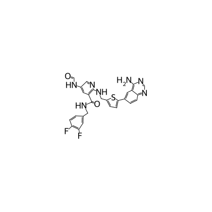 Nc1ncnc2ccc(-c3ccc(CNc4ncc(NC=O)cc4C(=O)NCc4ccc(F)c(F)c4)s3)cc12